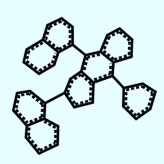 c1ccc(-c2c3ccccc3c(-c3cccc4ccccc34)c3cc(-c4cccc5ccccc45)ccc23)cc1